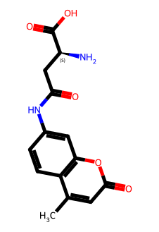 Cc1cc(=O)oc2cc(NC(=O)C[C@H](N)C(=O)O)ccc12